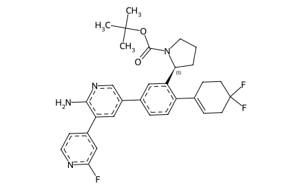 CC(C)(C)OC(=O)N1CCC[C@H]1c1cc(-c2cnc(N)c(-c3ccnc(F)c3)c2)ccc1C1=CCC(F)(F)CC1